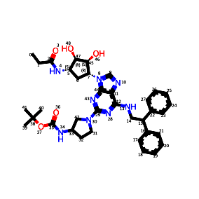 CCC(=O)N[C@H]1C[C@@H](n2cnc3c(NCC(c4ccccc4)c4ccccc4)nc(N4CCC(NC(=O)OC(C)(C)C)C4)nc32)[C@H](O)[C@@H]1O